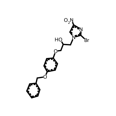 O=[N+]([O-])c1cn(CC(O)COc2ccc(OCc3ccccc3)cc2)c(Br)n1